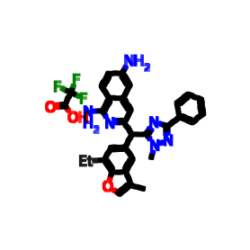 CCc1cc(C(c2cc3cc(N)ccc3c(N)n2)c2nc(-c3ccccc3)nn2C)cc2c(C)coc12.O=C(O)C(F)(F)F